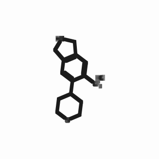 Cl.FC(F)(F)c1cc2c(cc1C1CCOCC1)CNC2